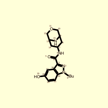 CCC(C)n1nc(C(=O)NC2CC3COCC(C2)N3)c2cc(O)ccc21